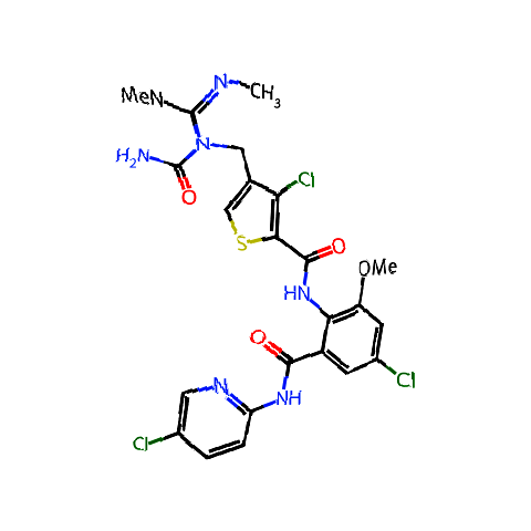 C/N=C(/NC)N(Cc1csc(C(=O)Nc2c(OC)cc(Cl)cc2C(=O)Nc2ccc(Cl)cn2)c1Cl)C(N)=O